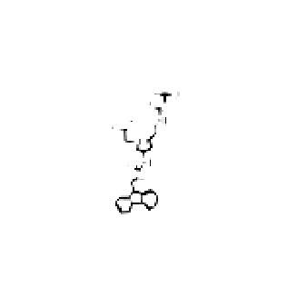 CC(C)(C)OC(=O)NCCCCC(CNCC(=O)O)NC(=O)OCC1c2ccccc2-c2ccccc21